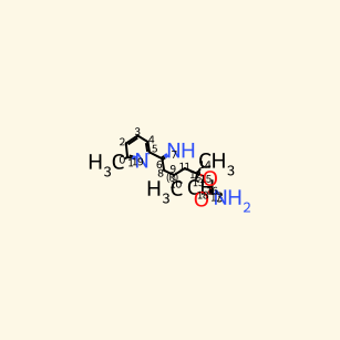 Cc1cccc(C(=N)C[C@@H](C)CC(C)(C)OC(N)=O)n1